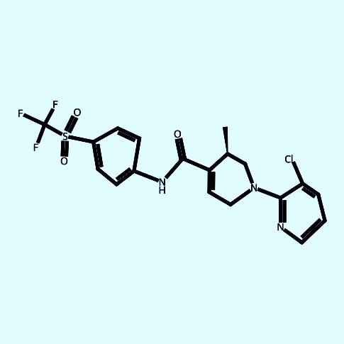 C[C@H]1CN(c2ncccc2Cl)CC=C1C(=O)Nc1ccc(S(=O)(=O)C(F)(F)F)cc1